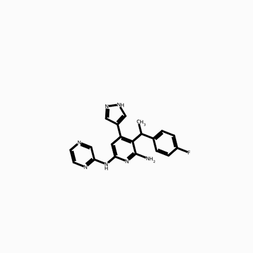 CC(c1ccc(F)cc1)c1c(-c2cn[nH]c2)cc(Nc2cnccn2)nc1N